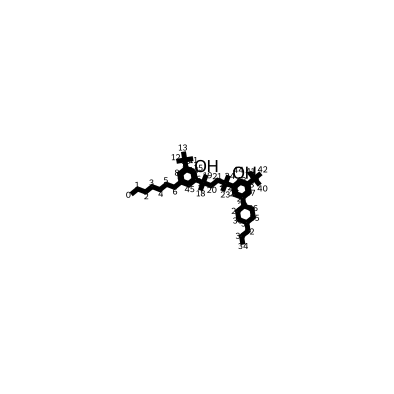 CCCCCCCc1cc(C(C)(C)C)c(O)c(C(C)(C)CCC(C)(C)c2cc(C3CCC(CCC)CC3)cc(C(C)(C)C)c2O)c1